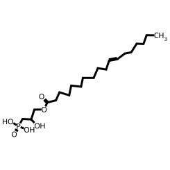 CCCCCC/C=C/CCCCCCCCCC(=O)OCC(O)CP(=O)(O)O